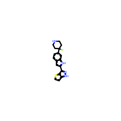 FC1(c2ccc3cc(-c4n[nH]c5ccsc45)[nH]c3c2)CCNCC1